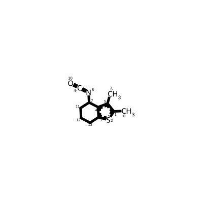 Cc1sc2c(c1C)C(N=C=O)CCC2